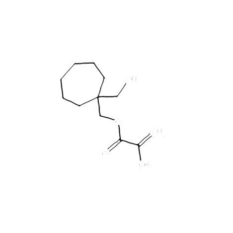 C=C(C)C(=O)OCC1(CO)CCCCCC1